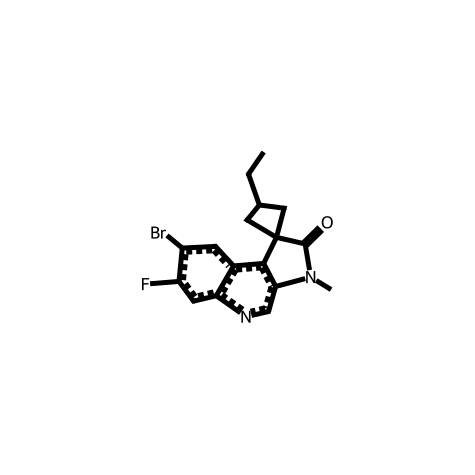 CCC1CC2(C1)C(=O)N(C)c1cnc3cc(F)c(Br)cc3c12